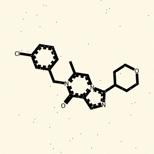 Cc1cn2c(C3CCOCC3)ncc2c(=O)n1Cc1cccc(Cl)c1